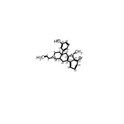 C=CCN1CCC2(c3cccc(O)c3)Cc3c(c4cccc(Br)c4n3C)CC2C1